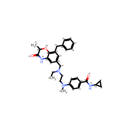 CCN(CCN(C)c1ccc(C(=O)NC2CC2)cc1)Cc1cc(Cc2ccccc2)c2c(c1)NC(=O)C(C)O2